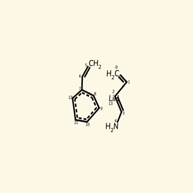 C=CC=CN.C=Cc1ccccc1.[LiH]